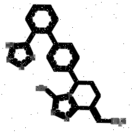 CCCCc1nnc2n1C(c1ccc(-c3ccccc3-c3nnn[nH]3)cc1)CCC2=CC(=O)O